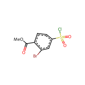 COC(=O)c1ccc(S(=O)(=O)Cl)cc1Br